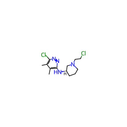 Cc1c(Cl)nnc(N[C@@H]2CCCN(CCCl)C2)c1C